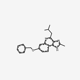 Cc1nc2c(CC(C)C)nc3cc(OCc4ccccc4)ccc3c2[nH]1